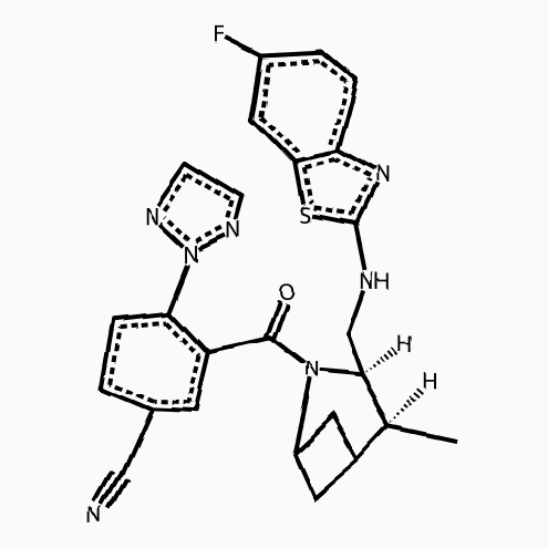 C[C@H]1C2CC(C2)N(C(=O)c2cc(C#N)ccc2-n2nccn2)[C@H]1CNc1nc2ccc(F)cc2s1